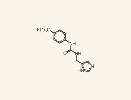 CCOC(=O)c1ccc(NC(=O)NCc2cnc[nH]2)cc1